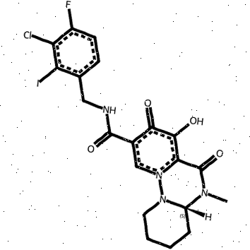 CN1C(=O)c2c(O)c(=O)c(C(=O)NCc3ccc(F)c(Cl)c3I)cn2N2CCCC[C@@H]12